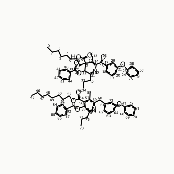 CCCCCCCCC1(C(=O)O)C(C)=C(C(=O)c2cccc(Oc3ccccc3)c2)N=C(CCC)C1OC(=O)c1ccccc1.CCCCCCCCOC(=O)c1c(C)c(Cc2cccc(Oc3ccccc3)c2)nc(CCC)c1OCc1ccccc1